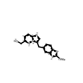 CSc1nc2ccc(Cc3cnc4ccc(CO)nn34)cc2s1